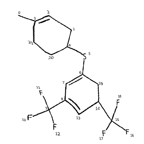 CC1=CCC(SC2=CC(C(F)(F)F)=CC(C(F)(F)F)C2)CC1